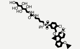 CC(C)N(CCCCNC(=O)NC[C@H](O)[C@@H](O)[C@H](O)[C@H](O)CO)S(=O)(=O)c1ccc(Cl)c(COC2(c3c[n+]([O-])ccc3-c3ccccc3OC3CC3)CC2)c1